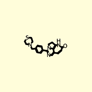 O=C1C=CC2=CN=C(c3ccc(CN4CCSCC4)cc3)N3CCC(=C23)N1